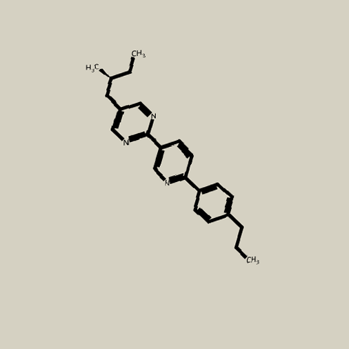 CCCc1ccc(-c2ccc(-c3ncc(C[C@@H](C)CC)cn3)cn2)cc1